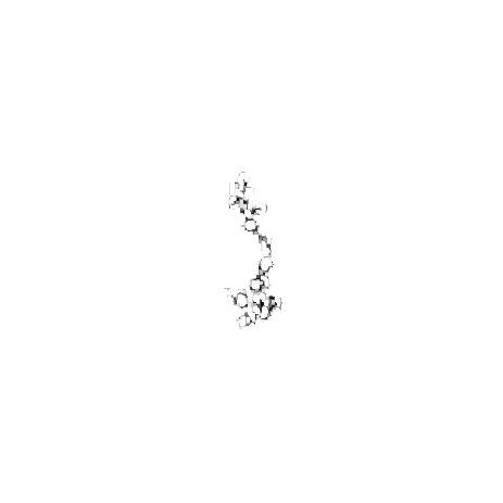 O=C1CCC(N2C(=O)c3ccc(C4CN(CC5CCN(c6cccc(-c7cnc8ccc(N9CCC[C@@H]9c9cccc(F)c9)nn78)n6)CC5)C4)cc3C2=O)C(=O)N1